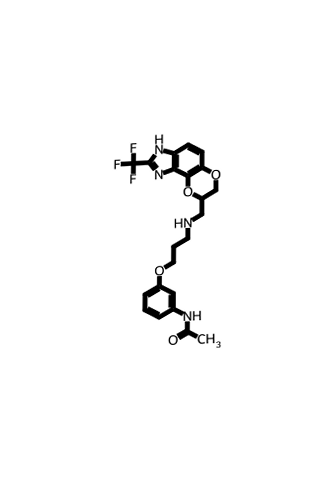 CC(=O)Nc1cccc(OCCCNCC2COc3ccc4[nH]c(C(F)(F)F)nc4c3O2)c1